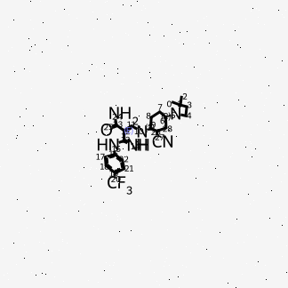 CC1(C)CCN1[C@@H]1CC[C@H](N/C=C(\C(=N)Nc2ccc(C(F)(F)F)cc2)C(N)=O)C(C#N)C1